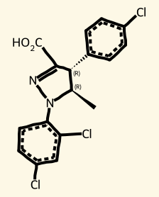 C[C@@H]1[C@@H](c2ccc(Cl)cc2)C(C(=O)O)=NN1c1ccc(Cl)cc1Cl